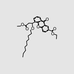 CCCCCCCCCCOC(CC(=O)OCC)c1cccc2c(=O)c3cc(C(=O)OCC)ccc3oc12